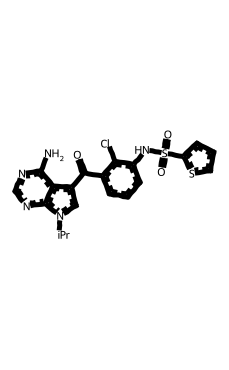 CC(C)n1cc(C(=O)c2cccc(NS(=O)(=O)c3cccs3)c2Cl)c2c(N)ncnc21